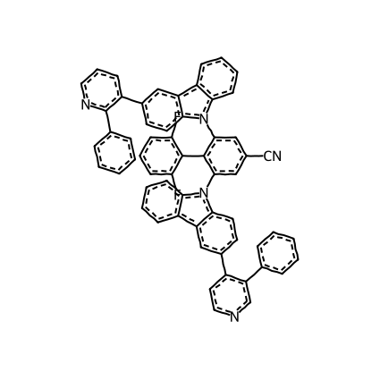 N#Cc1cc(-n2c3ccccc3c3cc(-c4ccncc4-c4ccccc4)ccc32)c(-c2c(F)cccc2F)c(-n2c3ccccc3c3cc(-c4cccnc4-c4ccccc4)ccc32)c1